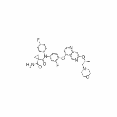 C[C@@H](CN1CCOCC1)Oc1cc2nccc(Oc3ccc(N(C(=O)C4(C(N)=O)CC4)c4ccc(F)cc4)cc3F)c2cn1